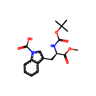 COC(=O)[C@@H](Cc1cn(C(=O)O)c2ccccc12)NC(=O)OC(C)(C)C